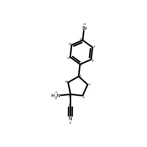 N#CC1(N)CCC(c2ccc(Br)cc2)C1